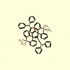 CS1(C)c2ccccc2C2(c3ccccc31)c1cc(N(c3ccccc3)c3ccccc3)sc1C1(c3ccccc3S(C)(C)c3ccccc31)c1cc(N(c3ccccc3)c3ccccc3)sc12